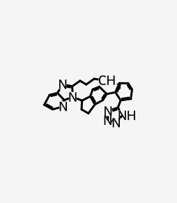 CCCCc1nc2cccnc2n1C1CCc2cc(-c3ccccc3-c3nnn[nH]3)ccc21